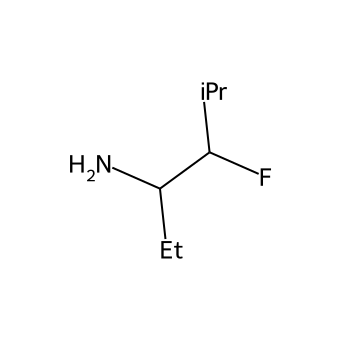 CCC(N)C(F)C(C)C